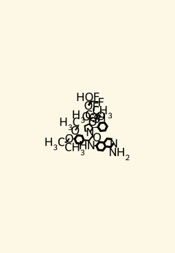 CCOc1cc([C@@H](Nc2ccc3c(N)nccc3c2)C(=O)N2CC[C@@H](C(=O)O)[C@H]2c2ccccc2S(=O)(=O)C(C)C)ccc1OC(C)C.O=C(O)C(F)(F)F